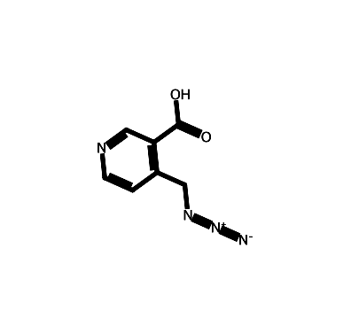 [N-]=[N+]=NCc1ccncc1C(=O)O